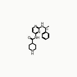 C[C@H](Nc1nccc(NC(=O)C2CCNCC2)n1)c1ccccc1